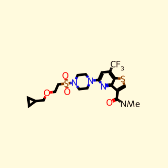 CNC(=O)c1csc2c(C(F)(F)F)cc(N3CCN(S(=O)(=O)CCOCC4CC4)CC3)nc12